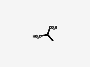 [CH2]C(C(=O)O)C(=O)O